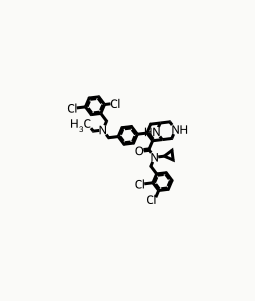 CCN(Cc1ccc(C2=C(C(=O)N(Cc3cccc(Cl)c3Cl)C3CC3)C3CNCC(C2)N3)cc1)Cc1cc(Cl)ccc1Cl